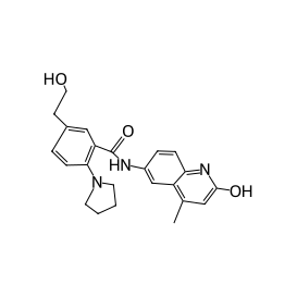 Cc1cc(O)nc2ccc(NC(=O)c3cc(CCO)ccc3N3CCCC3)cc12